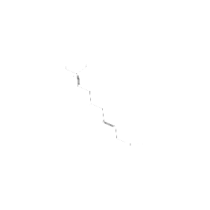 CCCCCCCC=CCCCC=C(C)C